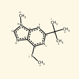 CSc1nc(C(C)(C)C)nc2c1ncn2C